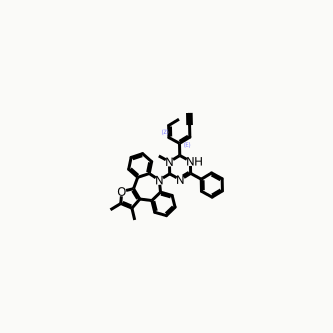 C#C/C=C(\C=C/C)C1NC(c2ccccc2)=NC(N2c3ccccc3-c3oc(C)c(C)c3-c3ccccc32)N1C